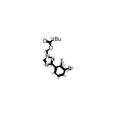 CC(C)(C)C(=O)OCn1cnc(-c2cccc(Br)c2F)n1